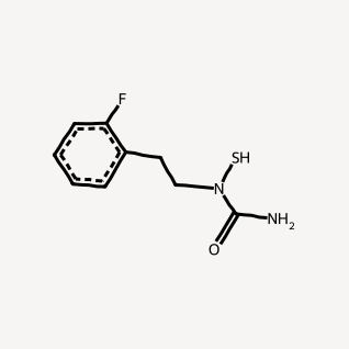 NC(=O)N(S)CCc1ccccc1F